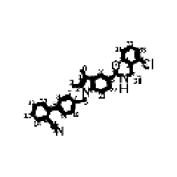 Cc1c(C)n(Cc2ccc(-c3ccccc3C#N)cc2)c2ccc(C(=O)N[C@@H](C)c3ccccc3Cl)cc12